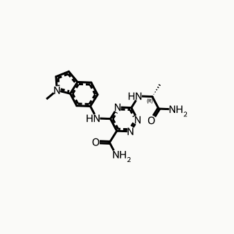 C[C@@H](Nc1nnc(C(N)=O)c(Nc2ccc3ccn(C)c3c2)n1)C(N)=O